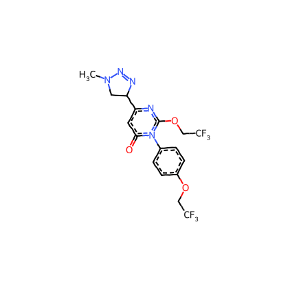 CN1CC(c2cc(=O)n(-c3ccc(OCC(F)(F)F)cc3)c(OCC(F)(F)F)n2)N=N1